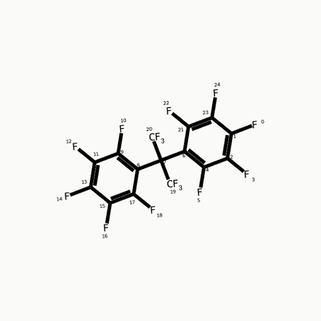 Fc1c(F)c(F)c(C(c2c(F)c(F)c(F)c(F)c2F)(C(F)(F)F)C(F)(F)F)c(F)c1F